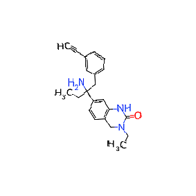 C#Cc1cccc(CC(N)(CC)c2ccc3c(c2)NC(=O)N(CC)C3)c1